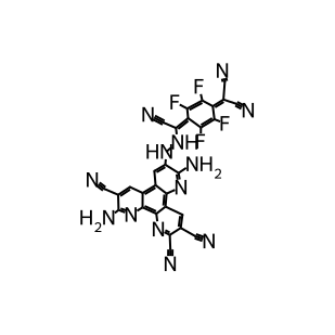 N#CC(C#N)=c1c(F)c(F)c(=C(C#N)NNc2cc3c4cc(C#N)c(N)nc4c4nc(C#N)c(C#N)cc4c3nc2N)c(F)c1F